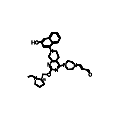 CCN1CCC[C@@H]1COc1nc2c(c(N3CCN(C=CC=O)CC3)n1)CCN(c1cc(O)cc3ccccc13)C2